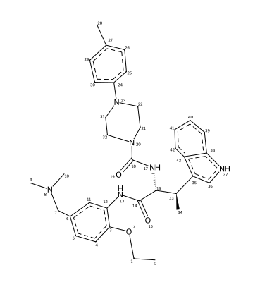 CCOc1ccc(CN(C)C)cc1NC(=O)[C@H](NC(=O)N1CCN(c2ccc(C)cc2)CC1)[C@H](C)c1c[nH]c2ccccc12